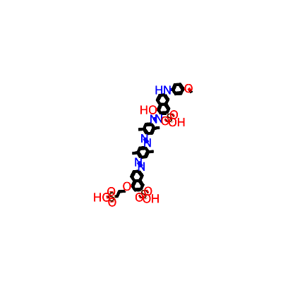 COc1ccc(Nc2ccc3c(O)c(N=Nc4cc(C)c(N=Nc5cc(C)c(N=Nc6ccc7c(OCCCS(=O)(=O)O)cc(S(=O)(=O)O)cc7c6)cc5C)cc4C)c(S(=O)(=O)O)cc3c2)cc1